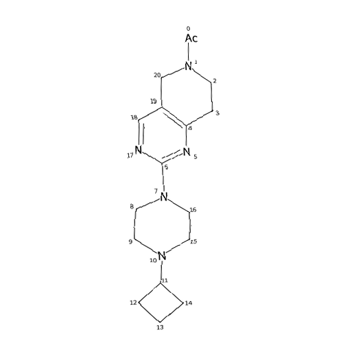 CC(=O)N1CCc2nc(N3CCN(C4CCC4)CC3)ncc2C1